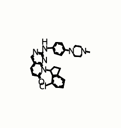 CN1CCN(c2ccc(Nc3ncc4ccc(=O)n(C5CCc6cccc(Cl)c65)c4n3)cc2)CC1